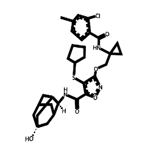 Cc1ccc(C(=O)NC2(COc3noc(C(=O)N[C@H]4C5CC6CC4C[C@](O)(C6)C5)c3SC3CCCC3)CC2)c(Cl)c1